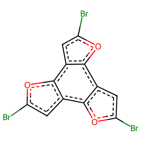 Brc1cc2c(o1)c1cc(Br)oc1c1cc(Br)oc21